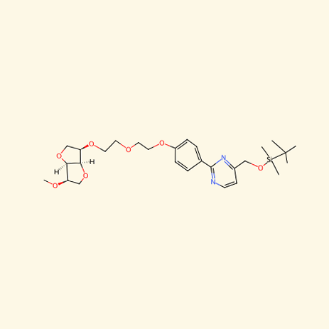 CO[C@@H]1CO[C@H]2[C@@H]1OC[C@H]2OCCOCCOc1ccc(-c2nccc(CO[Si](C)(C)C(C)(C)C)n2)cc1